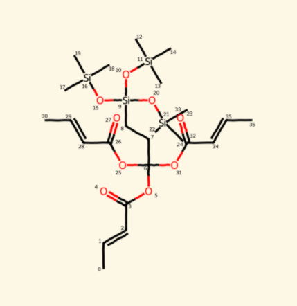 CC=CC(=O)OC(CC[Si](O[Si](C)(C)C)(O[Si](C)(C)C)O[Si](C)(C)C)(OC(=O)C=CC)OC(=O)C=CC